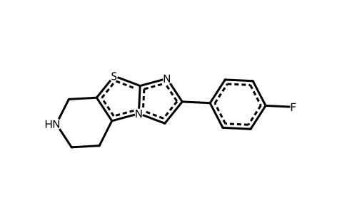 Fc1ccc(-c2cn3c4c(sc3n2)CNCC4)cc1